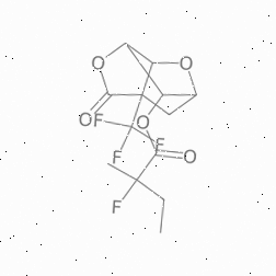 CCC(C)(F)C(=O)OC1C2CC3(C(F)(F)F)C(=O)OC1C3O2